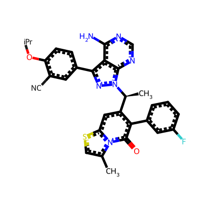 Cc1csc2cc([C@H](C)n3nc(-c4ccc(OC(C)C)c(C#N)c4)c4c(N)ncnc43)c(-c3cccc(F)c3)c(=O)n12